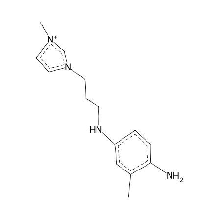 Cc1cc(NCCCn2cc[n+](C)c2)ccc1N